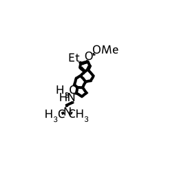 CCc1cc2c(cc1OCOC)CCC1C2CC[C@@]2(C)C1CC[C@@H]2NCCN(C)C